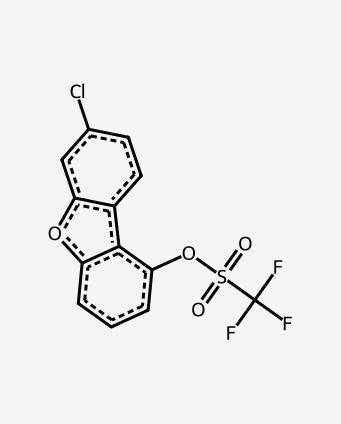 O=S(=O)(Oc1cccc2oc3cc(Cl)ccc3c12)C(F)(F)F